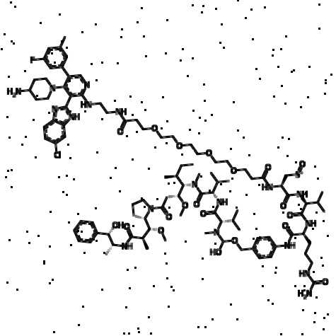 CC[C@H](C)[C@@H]([C@@H](CC(=O)N1CCC[C@H]1[C@H](OC)[C@@H](C)C(=O)N[C@H](C)[C@@H](O)c1ccccc1)OC)N(C)C(=O)[C@@H](NC(=O)[C@H](C(C)C)N(C)C(O)OCc1ccc(NC(=O)[C@H](CCCNC(N)=O)NC(=O)[C@@H](NC(=O)[C@H](C[S+]=O)NC(=O)CCOCCOCCOCCOCCC(=O)NCCNc2ncc(-c3cc(C)cc(F)c3)c(N3CCC(N)CC3)c2-c2nc3ccc(Cl)cc3[nH]2)C(C)C)cc1)C(C)C